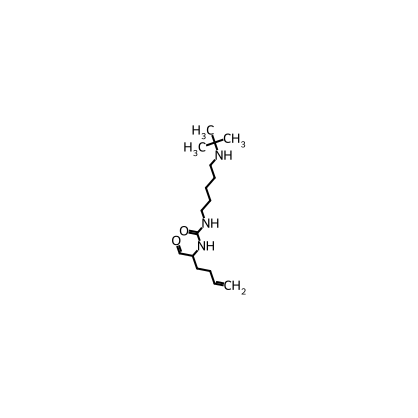 C=CCCC(C=O)NC(=O)NCCCCCNC(C)(C)C